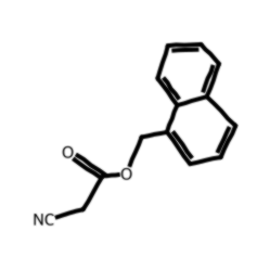 N#CCC(=O)OCc1cccc2ccccc12